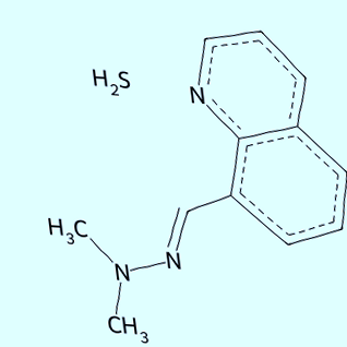 CN(C)N=Cc1cccc2cccnc12.S